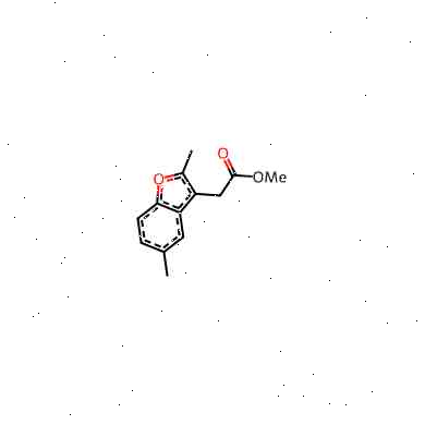 COC(=O)Cc1c(C)oc2ccc(C)cc12